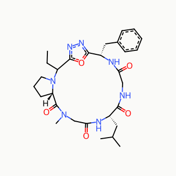 CCC1c2nnc(o2)[C@H](Cc2ccccc2)NC(=O)CNC(=O)[C@H](CC(C)C)NC(=O)CN(C)C(=O)[C@@H]2CCCN12